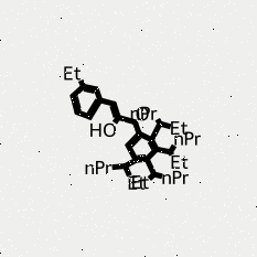 CCCC(CC)c1cc(C(=O)C(O)=Cc2cccc(CC)c2)c(C(CC)CCC)c(C(CC)CCC)c1C(CC)CCC